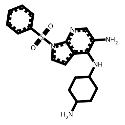 Nc1cnc2c(ccn2S(=O)(=O)c2ccccc2)c1NC1CCC(N)CC1